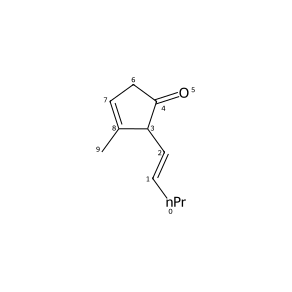 CCC/C=C/C1C(=O)CC=C1C